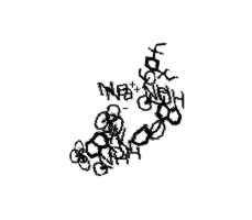 CCC(CNC(=O)c1cc(Oc2ccc(N=Nc3c(S(=O)(=O)[O-])cc4cc(S(=O)(=O)[O-])cc(NC(C)=O)c4c3O)cc2)c2ccccc2c1O)Oc1ccc(C(C)(C)CC)cc1C(C)(C)CC.[Na+].[Na+]